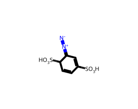 [N-]=[N+]=C1C=C(S(=O)(=O)O)C=CC1S(=O)(=O)O